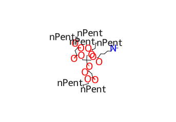 CCCCCC(CCCCC)COC(=O)CC(=O)OCC(COC(=O)CCCCN(C)C)(COC(=O)CC(=O)OCC(CCCCC)CCCCC)COC(=O)CC(CCCCC)CCCCC